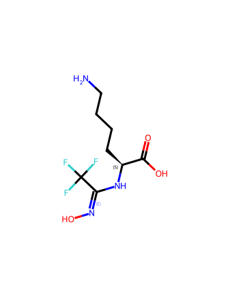 NCCCC[C@H](N/C(=N/O)C(F)(F)F)C(=O)O